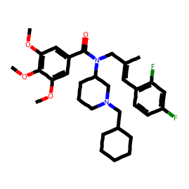 COc1cc(C(=O)N(CC(C)=Cc2ccc(F)cc2F)C2CCCN(CC3CCCCC3)C2)cc(OC)c1OC